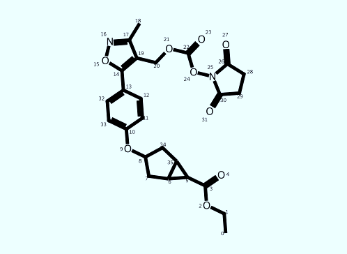 CCOC(=O)C1C2CC(Oc3ccc(-c4onc(C)c4COC(=O)ON4C(=O)CCC4=O)cc3)CC21